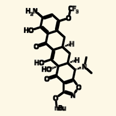 CCCCOc1noc2c1C(=O)[C@@]1(O)C(O)=C3C(=O)c4c(O)c(N)cc(OC(F)(F)F)c4C[C@H]3C[C@H]1[C@@H]2N(C)C